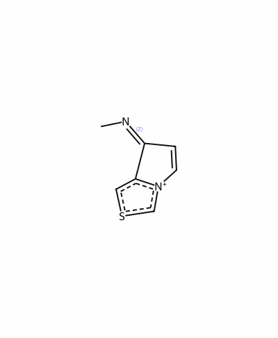 C/N=C1/C=C[n+]2cscc21